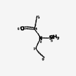 CCN([SiH3])C(C)=O